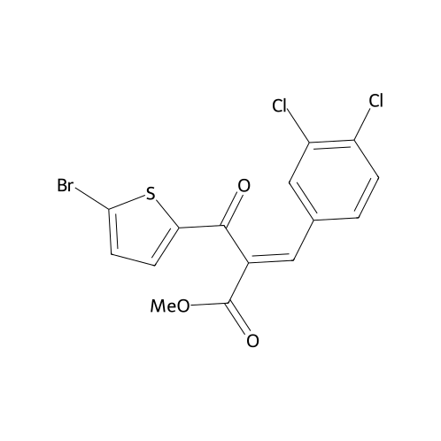 COC(=O)C(=Cc1ccc(Cl)c(Cl)c1)C(=O)c1ccc(Br)s1